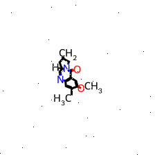 C=C1C[C@H]2C=Nc3cc(CC)c(OC)cc3C(=O)N2C1